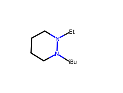 CCC(C)N1CCCCN1CC